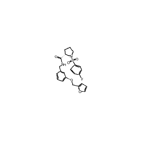 O=C(NCc1cccc(OCc2ccco2)c1)[C@@H]1CCCN1S(=O)(=O)c1ccc(F)cc1